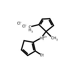 CCC1=[C]([Hf+2][C]2(C)C=CC=C2C)CC=C1.[Cl-].[Cl-]